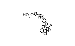 O=C(O)c1cc(-c2csc(N3CCC(OCc4c(-c5c(Cl)cccc5Cl)noc4C4CC4)CC3)n2)cs1